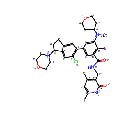 CCN(c1cc(-c2cc3c(cc2Cl)C(N2CCOCC2)CC3)cc(C(=O)NCc2c(C)cc(C)[nH]c2=O)c1C)C1CCOCC1